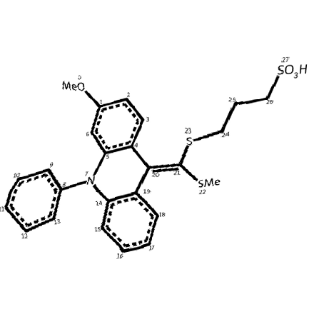 COc1ccc2c(c1)N(c1ccccc1)c1ccccc1/C2=C(\SC)SCCCS(=O)(=O)O